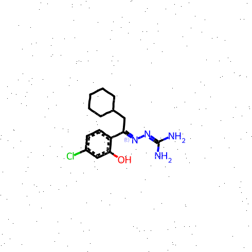 NC(N)=N/N=C(\CC1CCCCC1)c1ccc(Cl)cc1O